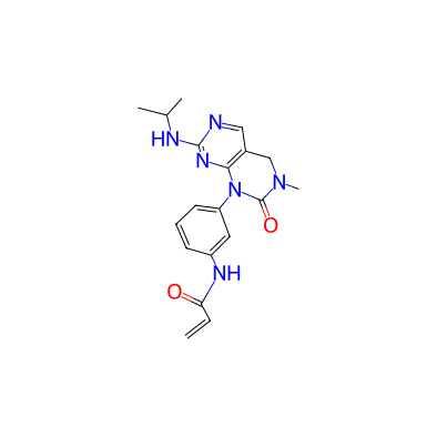 C=CC(=O)Nc1cccc(N2C(=O)N(C)Cc3cnc(NC(C)C)nc32)c1